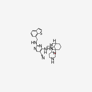 N#Cc1cnc(NCc2cccc3ccsc23)nc1NCC1C[C@H]2CCC[C@@H](C1)[C@@H]2NC1CCNCC1